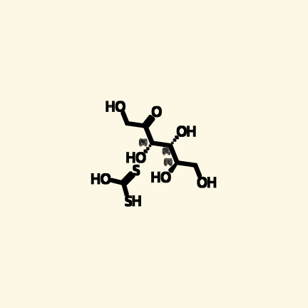 O=C(CO)[C@@H](O)[C@H](O)[C@H](O)CO.OC(=S)S